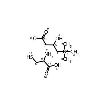 C[N+](C)(C)CC(O)CC(=O)[O-].NC(CS)C(=O)O